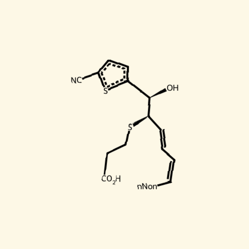 CCCCCCCCC/C=C\C=C\[C@@H](SCCC(=O)O)[C@H](O)c1ccc(C#N)s1